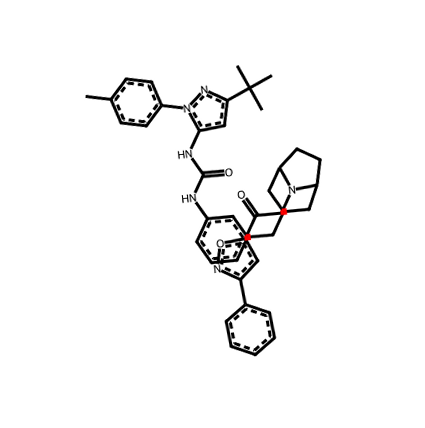 Cc1ccc(-n2nc(C(C)(C)C)cc2NC(=O)Nc2cccc(CC3CC4CCC(C3)N4CC(=O)c3cc(-c4ccccc4)no3)c2)cc1